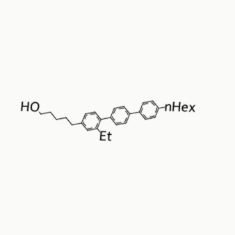 CCCCCCc1ccc(-c2ccc(-c3ccc(CCCCCO)cc3CC)cc2)cc1